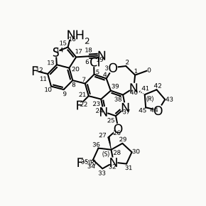 CC1COc2c(Cl)c(-c3ccc(F)c4sc(N)c(C#N)c34)c(F)c3nc(OC[C@@]45CCCN4C[C@H](F)C5)nc(c23)N1[C@@H]1CCOC1